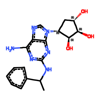 CC(Nc1nc(N)c2ncn([C@@H]3C[C@H](O)[C@@H](O)[C@H]3O)c2n1)c1ccccc1